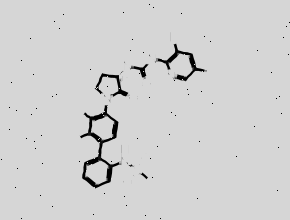 CS(=O)(=O)Nc1ccccc1-c1ccc(N2CC[C@@H](NC(=O)Nc3ncc(Cl)cc3F)C2=O)c(F)c1F